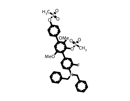 COc1cc(-c2ccc(OS(C)(=O)=O)cc2)c(OC)c(OS(C)(=O)=O)c1-c1ccc(N(Cc2ccccc2)Cc2ccccc2)c(F)c1